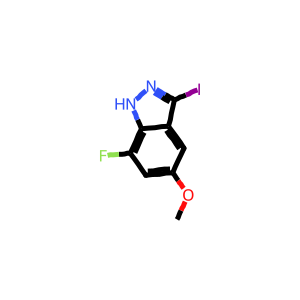 COc1cc(F)c2[nH]nc(I)c2c1